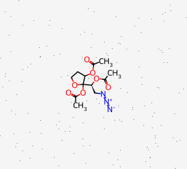 CC(=O)OC1CCOC1(OC(C)=O)[C@H](CN=[N+]=[N-])OC(C)=O